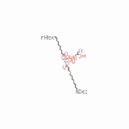 CCCCCC/C=C\CCCCCCCC(=O)O[C@H](COC(=O)CCCCCCCCCCCCCCCCCCCCC)COP(=O)(O)OC[C@@H](O)CO